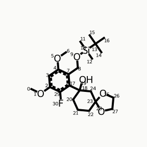 COc1cc(OC)c(CO[Si](C)(C)C(C)(C)C)c(C2(O)CCCC3(C2)OCCO3)c1F